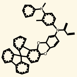 C=CC(=C)N(C1=CC2Oc3c(ccc4c3-c3ccccc3C43c4ccccc4-c4ccccc43)OC2C=C1)c1ccc(N(C)c2ccccc2)c(C)c1